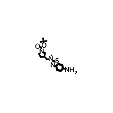 CN(CC1CCN(C(=O)OC(C)(C)C)C1)c1nc2ccc(N)cc2s1